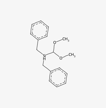 COC(OC)[SiH](Cc1ccccc1)Cc1ccccc1